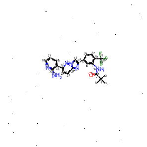 CC(C)(C)C(=O)Nc1cc(-c2cn3nc(-c4cccnc4N)ccc3n2)ccc1C(F)(F)F